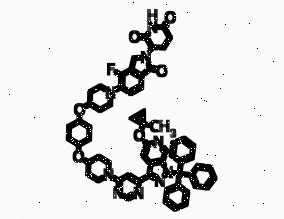 CC1(Oc2cc3c(-c4cc(N5CCC(OC6CCC(OC7CCN(c8ccc9c(c8F)CN(C8CCC(=O)NC8=O)C9=O)CC7)CC6)CC5)ncn4)nn(C(c4ccccc4)(c4ccccc4)c4ccccc4)c3cn2)CC1